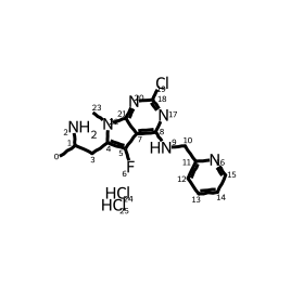 CC(N)Cc1c(F)c2c(NCc3ccccn3)nc(Cl)nc2n1C.Cl.Cl